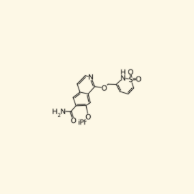 CC(C)Oc1cc2c(OCC3=CC=CS(=O)(=O)N3)nccc2cc1C(N)=O